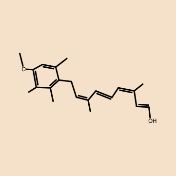 COc1cc(C)c(CC=C(C)C=CC=C(C)C=CO)c(C)c1C